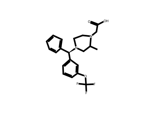 CC1CN([C@H](c2ccccc2)c2cccc(OC(F)(F)F)c2)CCN1CC(=O)O